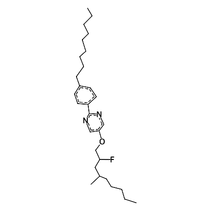 CCCCCCCCCc1ccc(-c2ncc(OCC(F)CC(C)CCCCC)cn2)cc1